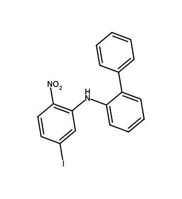 O=[N+]([O-])c1ccc(I)cc1Nc1ccccc1-c1ccccc1